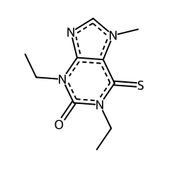 CCn1c(=S)c2c(ncn2C)n(CC)c1=O